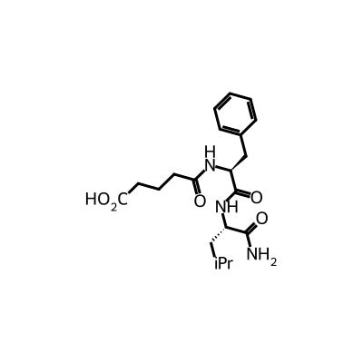 CC(C)C[C@H](NC(=O)[C@H](Cc1ccccc1)NC(=O)CCCC(=O)O)C(N)=O